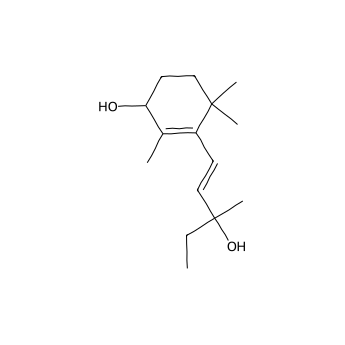 CCC(C)(O)C=CC1=C(C)C(O)CCC1(C)C